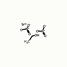 CCO.O=[N+]([O-])[O-].O=[N+]([O-])[O-].[Sr+2]